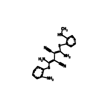 CNc1ccccc1S/C(N)=C(C#N)/C(C#N)=C(\N)Sc1ccccc1N